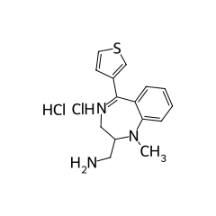 CN1c2ccccc2C(c2ccsc2)=NCC1CN.Cl.Cl